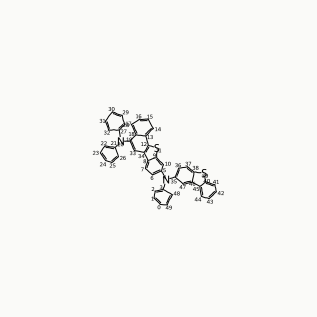 c1ccc(N(c2ccc3c(c2)sc2c4ccccc4c(N(c4ccccc4)c4ccccc4)cc32)c2ccc3sc4ccccc4c3c2)cc1